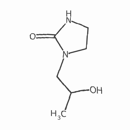 CC(O)CN1CCNC1=O